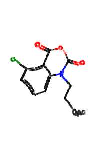 CC(=O)OCCn1c(=O)oc(=O)c2c(Cl)cccc21